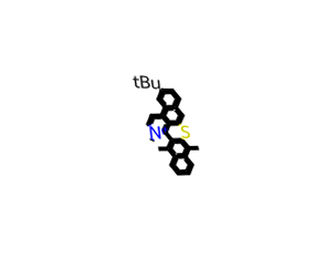 Cc1c2c(c(C)c3ccccc13)-c1c3c(cc4ccc(C(C)(C)C)cc4c3cc[n+]1C)S2